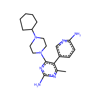 Cc1nc(N)nc(N2CCN(C3CCCCC3)CC2)c1-c1ccc(N)nc1